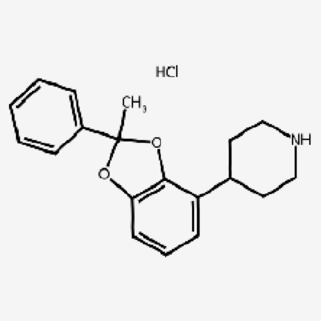 CC1(c2ccccc2)Oc2cccc(C3CCNCC3)c2O1.Cl